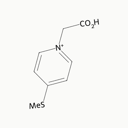 CSc1cc[n+](CC(=O)O)cc1